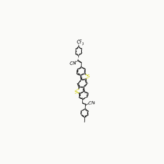 [C-]#[N+]/C(=C\c1ccc2c(c1)sc1cc3c(cc12)sc1cc(/C=C(\C#N)c2ccc(C)cc2)ccc13)c1ccc(C(F)(F)F)cc1